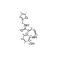 O=C(NCc1ccco1)C1=CC#CNc2c(S)cccc21